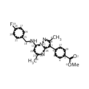 COC(=O)c1ccc(-c2c(C)nn3c(NCc4ccc(F)cc4)cc(C)nc23)cc1